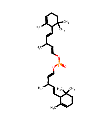 CC1=CCCC(C)(C)C1C=CC(C)C=CO[PH](=O)OC=CC(C)C=CC1C(C)=CCCC1(C)C